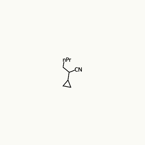 CCCCC(C#N)C1CC1